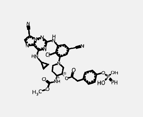 COC(=O)N[C@H]1CCN(c2cc(C#N)cc(Nc3nc(NC4CC4)c4ncc(C#N)n4n3)c2Cl)C[C@@H]1OC(=O)Cc1ccc(OP(O)(O)=P)cc1